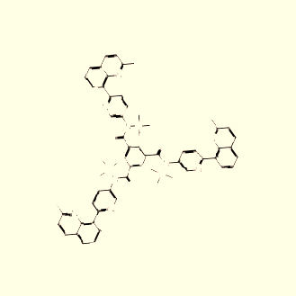 Cc1ccc2cccc(-c3ccc(N(C(=O)c4cc(C(=O)N(c5ccc(-c6cccc7ccc(C)nc67)nc5)[Si](C)(C)C)cc(C(=O)N(c5ccc(-c6cccc7ccc(C)nc67)nc5)[Si](C)(C)C)c4)[Si](C)(C)C)cn3)c2n1